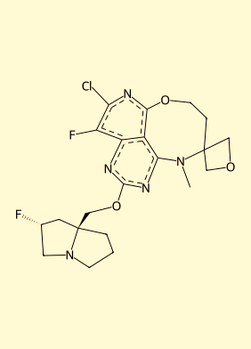 CN1c2nc(OC[C@@]34CCCN3C[C@H](F)C4)nc3c(F)c(Cl)nc(c23)OCCC12COC2